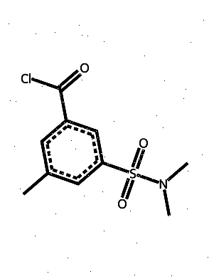 Cc1cc(C(=O)Cl)cc(S(=O)(=O)N(C)C)c1